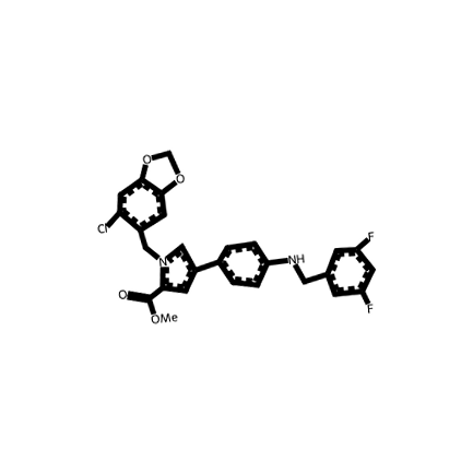 COC(=O)c1cc(-c2ccc(NCc3cc(F)cc(F)c3)cc2)cn1Cc1cc2c(cc1Cl)OCO2